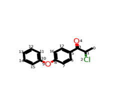 CC(Cl)C(=O)c1ccc(Oc2ccccc2)cc1